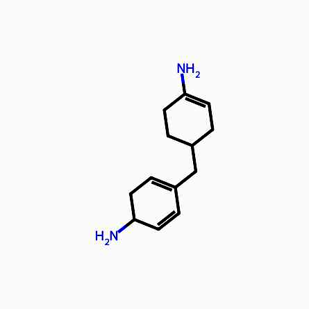 NC1=CCC(CC2=CCC(N)C=C2)CC1